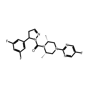 C[C@@H]1CN(c2ncc(F)cn2)C[C@H](C)N1C(=O)N1N=CCC1c1cc(F)cc(F)c1